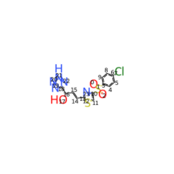 O=S(=O)(c1ccc(Cl)cc1)c1csc(C=CC(O)c2nn[nH]n2)n1